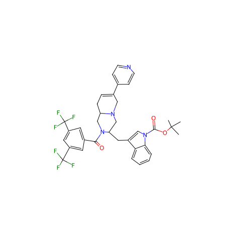 CC(C)(C)OC(=O)n1cc(CC2CN3CC(c4ccncc4)=CCC3CN2C(=O)c2cc(C(F)(F)F)cc(C(F)(F)F)c2)c2ccccc21